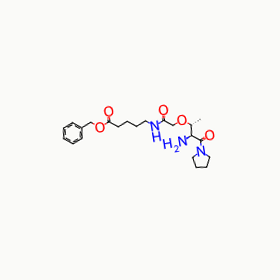 C[C@@H](OCC(=O)NCCCCC(=O)OCc1ccccc1)[C@H](N)C(=O)N1CCCC1